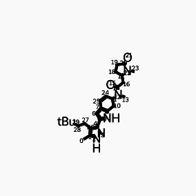 Cc1[nH]nc(-c2cc3c([nH]2)CC(N(C)C(=O)CC2CCC(=O)N2C)C=C3)c1CCC(C)(C)C